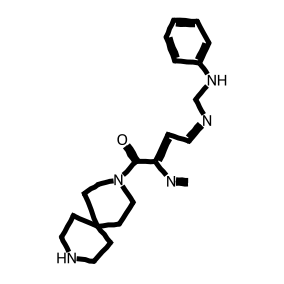 C=N/C(=C\C=N/CNc1ccccc1)C(=O)N1CCC2(CCNCC2)CC1